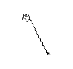 CCC=CCC=CCC=CCC=CCC=CCCCC=C(CO)OCC